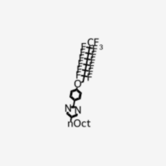 CCCCCCCCc1cnc(-c2ccc(OCC(F)(F)C(F)(F)C(F)(F)C(F)(F)C(F)(F)C(F)(F)C(F)(F)F)cc2)nc1